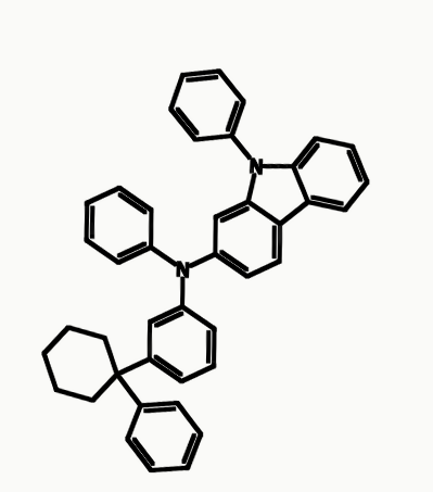 c1ccc(N(c2cccc(C3(c4ccccc4)CCCCC3)c2)c2ccc3c4ccccc4n(-c4ccccc4)c3c2)cc1